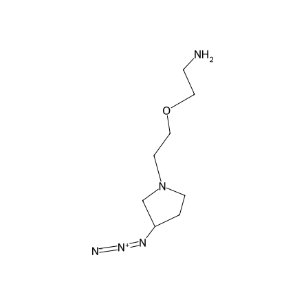 [N-]=[N+]=NC1CCN(CCOCCN)C1